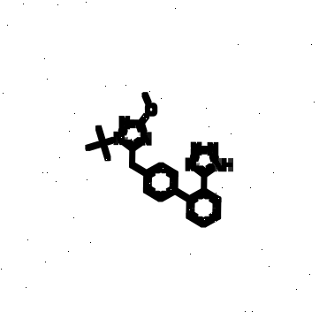 COc1nc(Cc2ccc(-c3ccccc3-c3nnn[nH]3)cc2)n(C(C)(C)C)n1